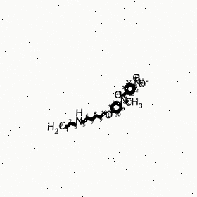 C=CCCNCCCCCCO[C@H]1CC[C@H](N(C)C(=O)c2ccc([N+](=O)[O-])cc2)CC1